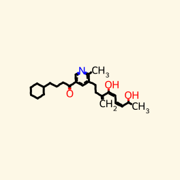 C=C(CCc1cc(C(=O)CCCC2CCCCC2)cnc1C)/C(O)=C\C=C/C(C)O